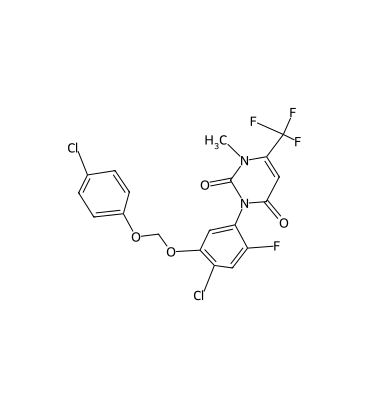 Cn1c(C(F)(F)F)cc(=O)n(-c2cc(OCOc3ccc(Cl)cc3)c(Cl)cc2F)c1=O